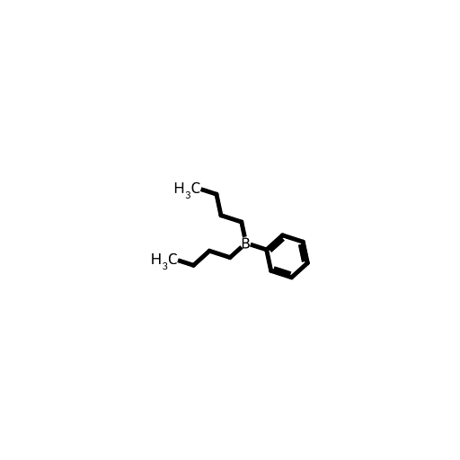 CCCCB(CCCC)c1ccccc1